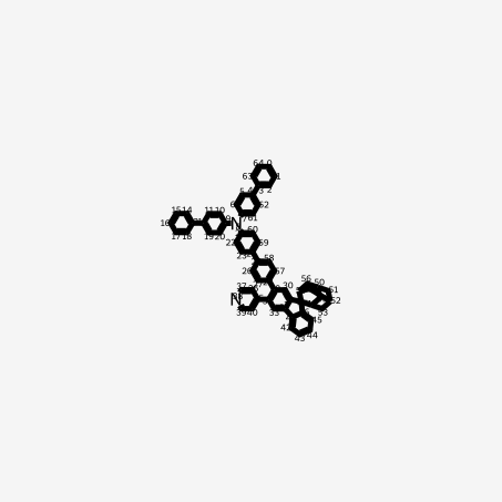 c1ccc(-c2ccc(N(c3ccc(-c4ccccc4)cc3)c3ccc(-c4ccc(-c5cc6c(cc5-c5ccncc5)-c5ccccc5C65C6CC7CC(C6)CC5C7)cc4)cc3)cc2)cc1